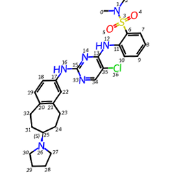 CN(C)S(=O)(=O)c1ccccc1Nc1nc(Nc2ccc3c(c2)CC[C@@H](N2CCCC2)CC3)ncc1Cl